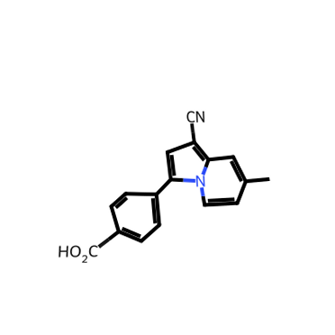 Cc1ccn2c(-c3ccc(C(=O)O)cc3)cc(C#N)c2c1